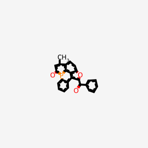 Cc1cc(=O)p2c3ccccc3c3c(C(=O)c4ccccc4)oc4ccc1c2c43